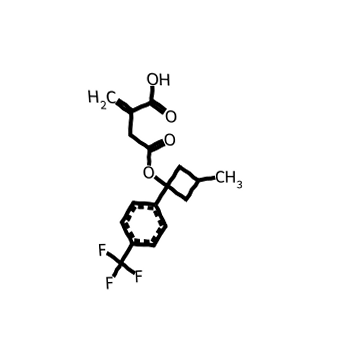 C=C(CC(=O)OC1(c2ccc(C(F)(F)F)cc2)CC(C)C1)C(=O)O